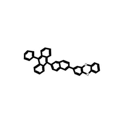 c1ccc(-c2c3ccccc3c(-c3ccc4cc(-c5ccc6c(c5)Oc5ccccc5O6)ccc4c3)c3ccccc23)cc1